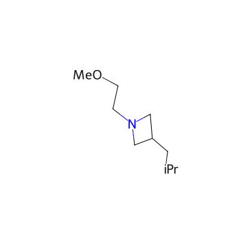 COCCN1CC(CC(C)C)C1